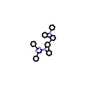 c1ccc(-c2cc(-n3c4ccccc4c4cc(-c5cccc6c5c5ccccc5n6-c5ccccc5)ccc43)nc(-c3ccccc3)n2)cc1